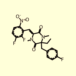 CCC1(Cc2ccc(F)cc2)C(=O)N(C)C(=Cc2c([N+](=O)[O-])ccc(F)c2F)C(=O)N1C